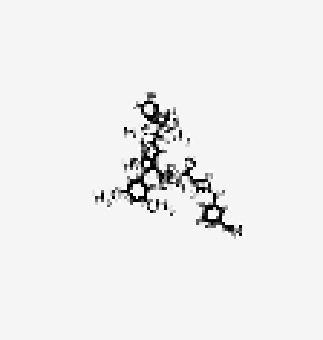 Cc1cc(C)cc(-c2[nH]c3sc(C(C)(C)C(=O)C4C5CCC4NC5)cc3c2[C@H](C)CNC(=O)C2CN(Cc3cccc(C#N)c3)C2)c1